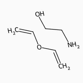 C=COC=C.NCCO